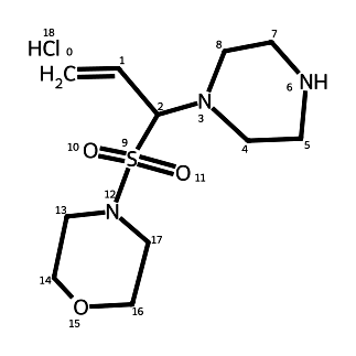 C=CC(N1CCNCC1)S(=O)(=O)N1CCOCC1.Cl